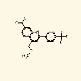 COCc1cc(-c2ccc(C(F)(F)F)cc2)nc2cc(C(=O)O)ccc12